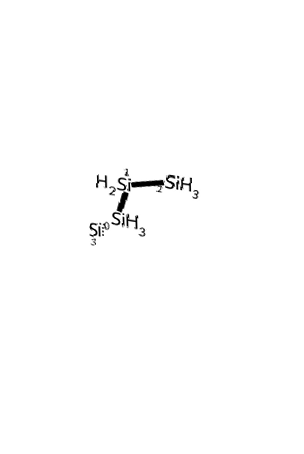 [SiH3][SiH2][SiH3].[Si]